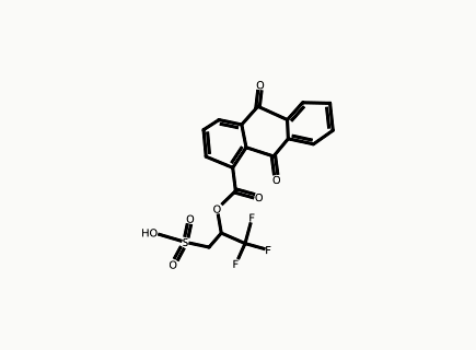 O=C(OC(CS(=O)(=O)O)C(F)(F)F)c1cccc2c1C(=O)c1ccccc1C2=O